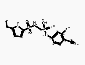 CCc1ccc(S(=O)(=O)NCP(=O)(O)Oc2ccc(C#N)c(F)c2)s1